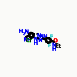 CCNC(=O)c1c(F)cc(C2N=C(Nc3ccc(N)c(C=N)c3Cl)N(C)N2)cc1F